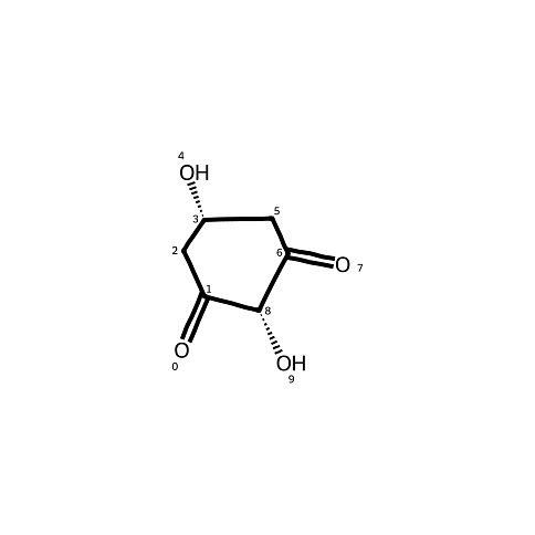 O=C1C[C@H](O)CC(=O)[C@@H]1O